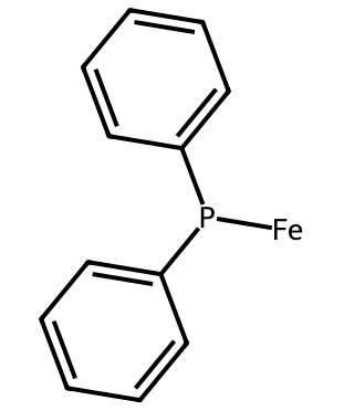 [Fe][P](c1ccccc1)c1ccccc1